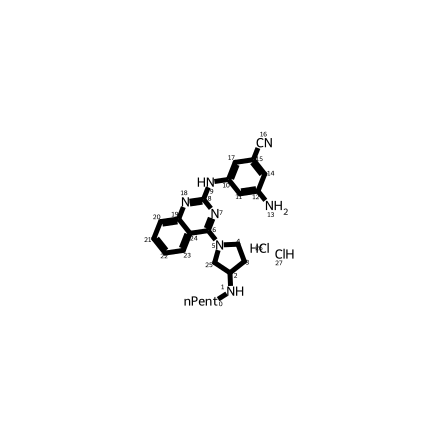 CCCCCNC1CCN(c2nc(Nc3cc(N)cc(C#N)c3)nc3ccccc23)C1.Cl.Cl